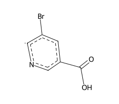 O=C(O)c1cn[c]c(Br)c1